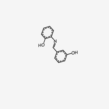 Oc1cccc(C=Nc2ccccc2O)c1